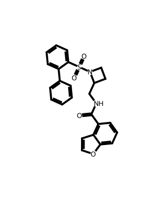 O=C(NCC1CCN1S(=O)(=O)c1ccccc1-c1ccccc1)c1cccc2occc12